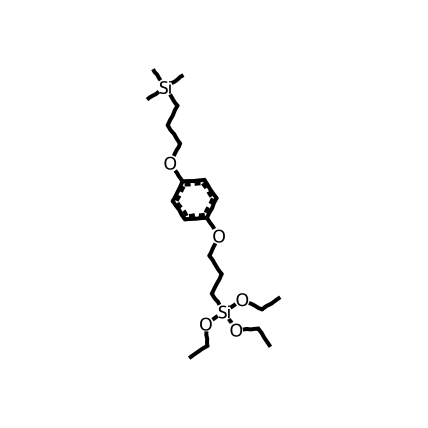 CCO[Si](CCCOc1ccc(OCCC[Si](C)(C)C)cc1)(OCC)OCC